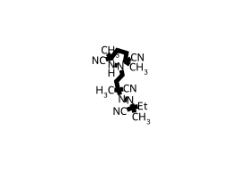 CCC(C)(C#N)N=NC(C)(C#N)CCN1NC(C)(C#N)CCC1(C)C#N